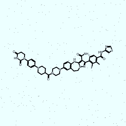 Cc1c(C(=O)Nc2cscn2)ccc(-c2nn3c(c2C(N)=O)Nc2ccc(N4CCN(C(=O)C5CCN(c6ccc(N7CCC(=O)NC7=O)cc6)CC5)CC4)cc2CC3)c1F